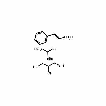 CCCCC(CC)C(=O)O.O=C(O)C=Cc1ccccc1.OCC(O)CO